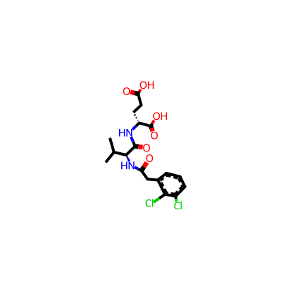 CC(C)[C@H](NC(=O)Cc1cccc(Cl)c1Cl)C(=O)N[C@H](CCC(=O)O)C(=O)O